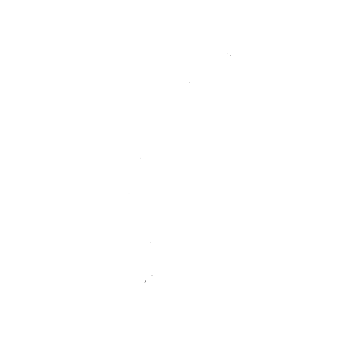 C[C@@H]1CCN(c2ccc(C(=O)N3CCC(F)(F)/C(=C\C(=O)NCC(N)=O)c4ccccc43)c(Cl)c2)C1